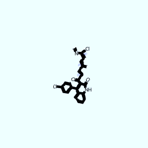 C=N\C(Cl)=C/C=C(C)/C=C/C(=O)c1c(-c2ccc(Cl)cc2)c2ccccc2[nH]c1=O